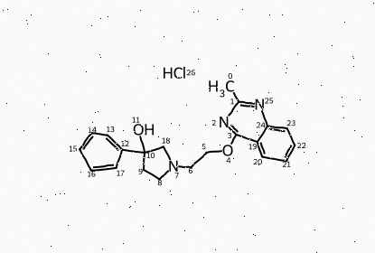 Cc1nc(OCCN2CCC(O)(c3ccccc3)C2)c2ccccc2n1.Cl